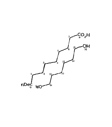 CCCCCCCCCCCCCCCCCC(=O)O.OCCCCCCO